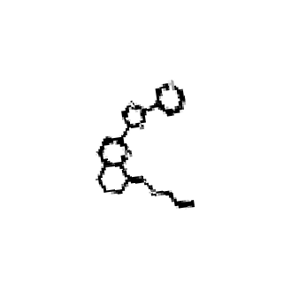 C=CCO/N=C1\CCCc2ccc(-c3cnc(-c4cccnc4)s3)nc21